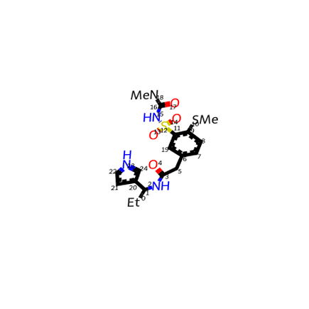 CCC(NC(=O)Cc1ccc(SC)c(S(=O)(=O)NC(=O)NC)c1)c1cc[nH]c1